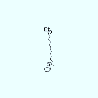 CCOCCCCCCCCCCCC[Si](C)(C)C1CC2CCC1C2